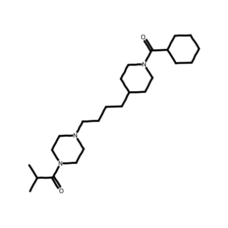 CC(C)C(=O)N1CCN(CCCCC2CCN(C(=O)C3CCCCC3)CC2)CC1